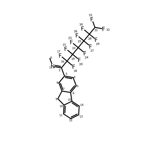 CN=C(c1ccc2c(c1)Cc1ccccc1-2)C(F)(F)C(F)(F)C(F)(F)C(F)(F)C(F)(F)C(F)F